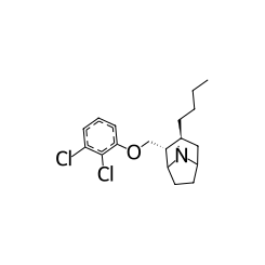 CCCC[C@H]1CC2CCC([C@@H]1COc1cccc(Cl)c1Cl)N2C